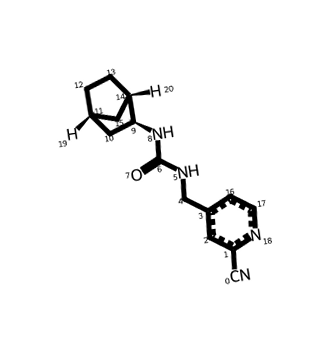 N#Cc1cc(CNC(=O)N[C@H]2C[C@@H]3CC[C@H]2C3)ccn1